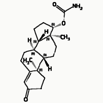 C[C@]12CC[C@H]3[C@@H](CCC4=CC(=O)CC[C@@]43C)[C@@H]1CC[C@@H]2OC(N)=O